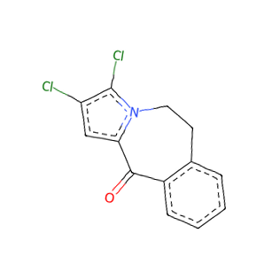 O=C1c2ccccc2CCn2c1cc(Cl)c2Cl